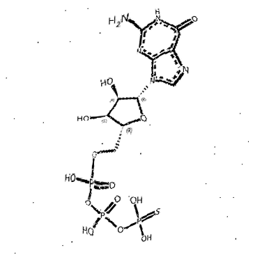 Nc1nc2c(ncn2[C@@H]2O[C@H](COP(=O)(O)OP(=O)(O)OP(O)(O)=S)[C@@H](O)[C@H]2O)c(=O)[nH]1